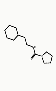 O=C(NCCC1CCCCC1)N1CCCC1